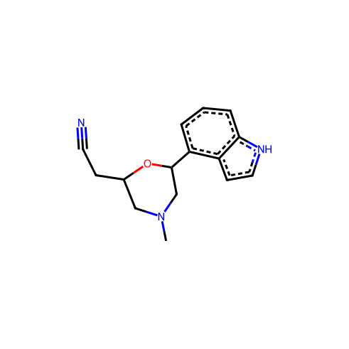 CN1CC(CC#N)OC(c2cccc3[nH]ccc23)C1